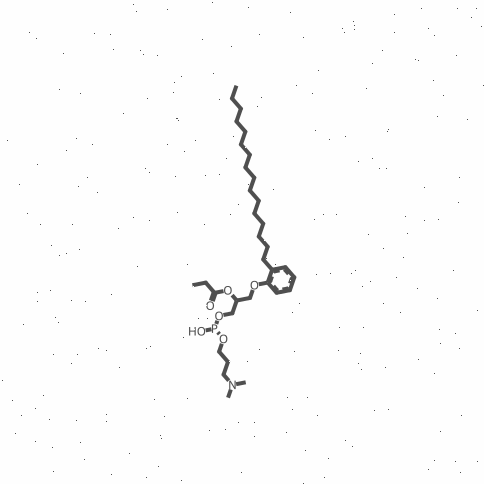 CCCCCCCCCCCCCCCCc1ccccc1OCC(COP(O)OCCCN(C)C)OC(=O)CC